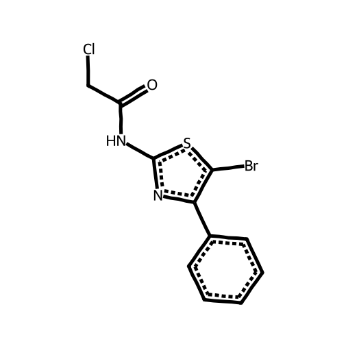 O=C(CCl)Nc1nc(-c2ccccc2)c(Br)s1